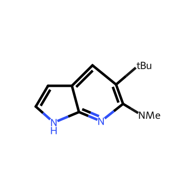 CNc1nc2[nH]ccc2cc1C(C)(C)C